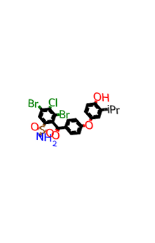 CC(C)c1cc(Oc2ccc(C(=O)c3c(S(N)(=O)=O)cc(Br)c(Cl)c3Br)cc2)ccc1O